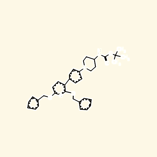 CC(C)(C)OC(=O)NC1CCN(c2ccc(-c3ccc(OCc4ccccc4)nc3OCc3ccccc3)cc2)CC1